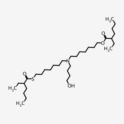 CCCCC(CC)C(=O)OCCCCCCCN(CCCCO)CCCCCCCSC(=O)C(CC)CCCC